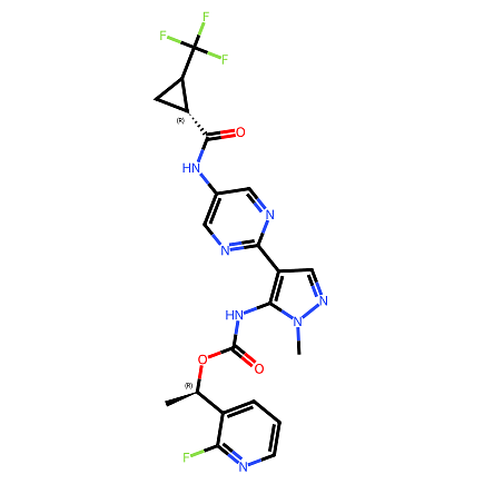 C[C@@H](OC(=O)Nc1c(-c2ncc(NC(=O)[C@@H]3CC3C(F)(F)F)cn2)cnn1C)c1cccnc1F